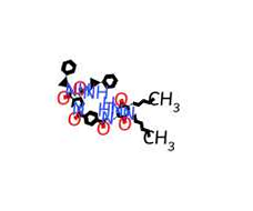 CCCCCCN1C(=O)[C@H](CNC(=O)c2ccc(C(=O)N3C[C@@H](C(=O)N[C@H]4C[C@@H]4c4ccccc4)[C@H](C(=O)N[C@H]4C[C@@H]4c4ccccc4)C3)cc2)NC(=O)[C@@H]1CCCCC